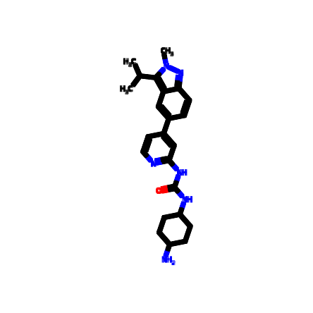 CC(C)c1c2cc(-c3ccnc(NC(=O)NC4CCC(N)CC4)c3)ccc2nn1C